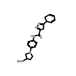 CNC1CCN(c2ccc(NC(=O)C3=NN=C(C4C=CC=CC4)C3)cc2)C1